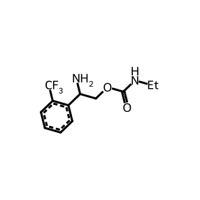 CCNC(=O)OCC(N)c1ccccc1C(F)(F)F